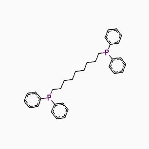 c1ccc(P(CCCCCCCCCP(c2ccccc2)c2ccccc2)c2ccccc2)cc1